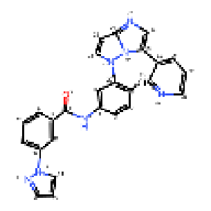 Cc1ccc(NC(=O)c2cccc(-n3cccn3)c2)cc1-n1ccc2ncc(-c3cccnc3)n21